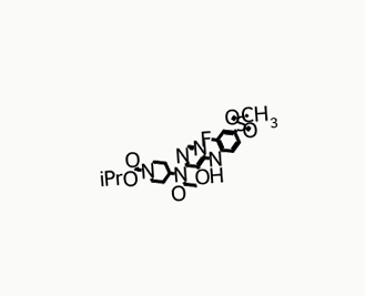 CC(C)OC(=O)N1CCC(N2C(=O)COc3c(Nc4ccc(S(C)(=O)=O)cc4F)ncnc32)CC1